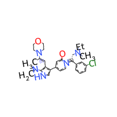 C=Nc1[nH]cc(-c2ccn([C@H](CN(C)CC)c3cccc(Cl)c3)c(=O)c2)c1/C=C(\C)N1CCOCC1